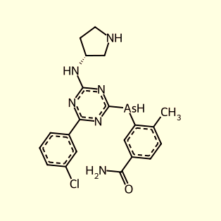 Cc1ccc(C(N)=O)cc1[AsH]c1nc(N[C@@H]2CCNC2)nc(-c2cccc(Cl)c2)n1